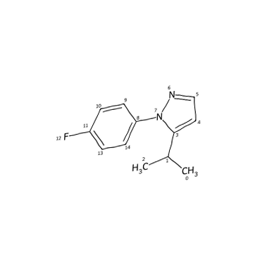 CC(C)c1ccnn1-c1ccc(F)cc1